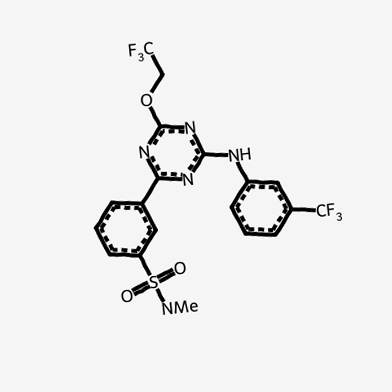 CNS(=O)(=O)c1cccc(-c2nc(Nc3cccc(C(F)(F)F)c3)nc(OCC(F)(F)F)n2)c1